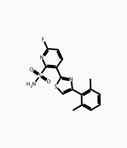 Cc1cccc(C)c1-c1csc(-c2ccc(F)nc2S(N)(=O)=O)n1